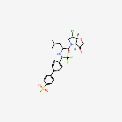 CC(C)C[C@H](NC(c1ccc(-c2ccc(S(C)(=O)=O)cc2)cc1)C(F)(F)F)C(=O)N1C[C@@H](Cl)[C@H]2OCC(=O)[C@H]21